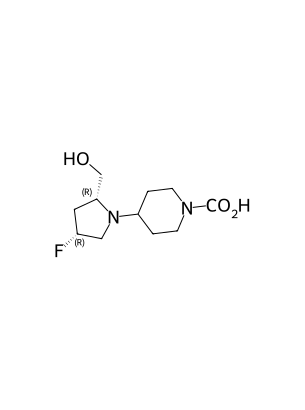 O=C(O)N1CCC(N2C[C@H](F)C[C@@H]2CO)CC1